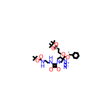 C[C@@H](OC(=O)C1(N=[N+]=[N-])CN(c2c(NCCNC(=O)OC(C)(C)C)c(=O)c2=O)C[C@@H]1CCCB1OC(C)(C)C(C)(C)O1)c1ccccc1